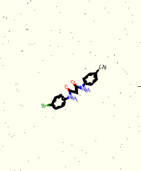 N#Cc1ccc(NC(=O)CC(=O)Nc2ccc(Br)cc2)cc1